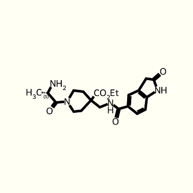 CCOC(=O)C1(CNC(=O)c2ccc3c(c2)CC(=O)N3)CCN(C(=O)[C@H](C)N)CC1